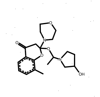 Cc1cccc2c1OC(OC(C)N1CCC(O)C1)(N1CCOCC1)CC2=O